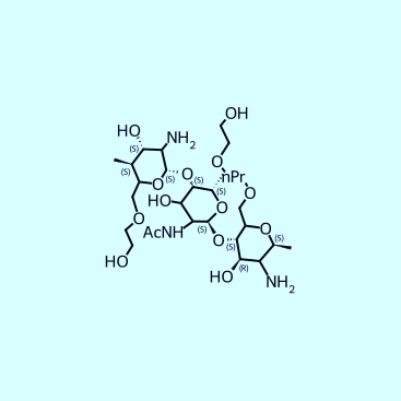 CCCOCC1O[C@@H](C)C(N)[C@@H](O)[C@@H]1O[C@@H]1O[C@@H](COCCO)[C@@H](O[C@@H]2OC(COCCO)[C@@H](C)[C@H](O)C2N)C(O)C1NC(C)=O